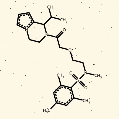 Cc1cc(C)c(S(=O)(=O)N(C)CCOCC(=O)N2CCn3cccc3C2C(C)C)c(C)c1